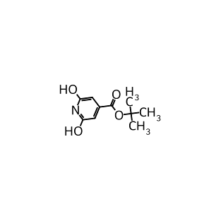 CC(C)(C)OC(=O)c1cc(O)nc(O)c1